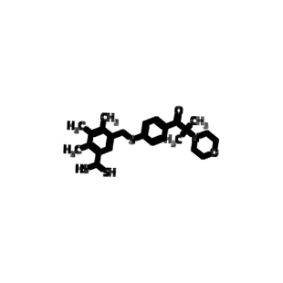 Cc1c(CSc2ccc(C(=O)C(C)(C)N3CCOCC3)cc2)cc(C(S)S)c(C)c1C